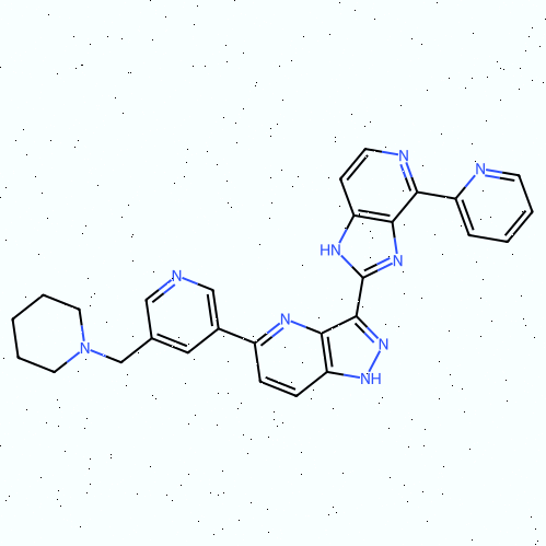 c1ccc(-c2nccc3[nH]c(-c4n[nH]c5ccc(-c6cncc(CN7CCCCC7)c6)nc45)nc23)nc1